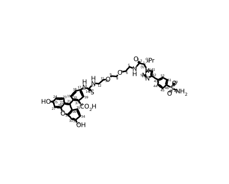 CC(C)[C@@H](C(=O)NCCOCCOCCNC(=S)Nc1ccc(C2=C3C=CC(O)C=C3Oc3cc(O)ccc32)c(C(=O)O)c1)n1cc(-c2ccc(S(N)(=O)=O)cc2)nn1